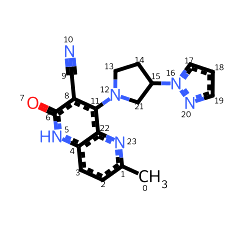 Cc1ccc2[nH]c(=O)c(C#N)c(N3CCC(n4cccn4)C3)c2n1